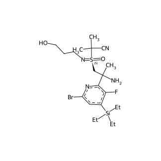 CC[Si](CC)(CC)c1cc(Br)nc(C(C)(N)C[S@@](=O)(=NCCCO)C(C)(C)C#N)c1F